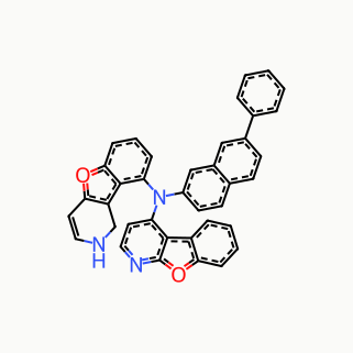 C1=Cc2oc3cccc(N(c4ccc5ccc(-c6ccccc6)cc5c4)c4ccnc5oc6ccccc6c45)c3c2CN1